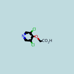 O=C(O)COc1c(Cl)cncc1Cl